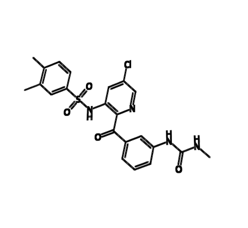 CNC(=O)Nc1cccc(C(=O)c2ncc(Cl)cc2NS(=O)(=O)c2ccc(C)c(C)c2)c1